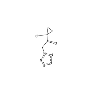 O=C(Cn1ncnn1)C1(Cl)CC1